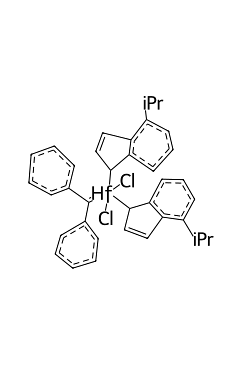 CC(C)c1cccc2c1C=C[CH]2[Hf]([Cl])([Cl])(=[C](c1ccccc1)c1ccccc1)[CH]1C=Cc2c(C(C)C)cccc21